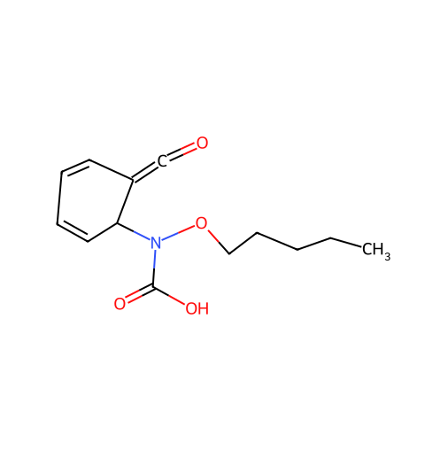 CCCCCON(C(=O)O)C1C=CC=CC1=C=O